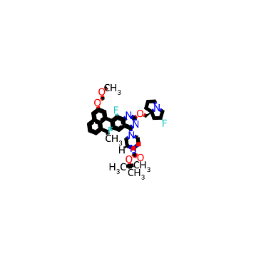 CCc1cccc2cc(OCOC)cc(-c3c(F)cc4c(N5C[C@@H]6CCC5CN6C(=O)OC(C)(C)C)nc(OC[C@@]56CCCN5C[C@H](F)C6)nc4c3F)c12